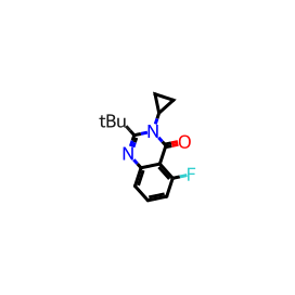 CC(C)(C)c1nc2cccc(F)c2c(=O)n1C1CC1